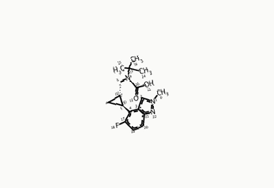 Cn1cc2c([C@H]3C[C@@H]3CN(C(=O)O)C(C)(C)C)c(F)ccc2n1